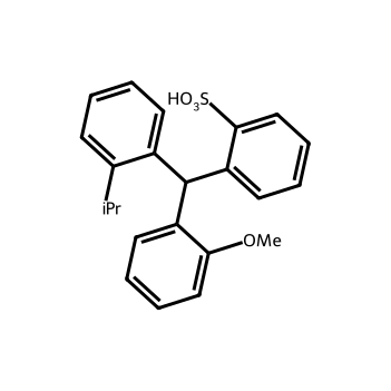 COc1ccccc1C(c1ccccc1C(C)C)c1ccccc1S(=O)(=O)O